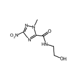 Cn1nc([N+](=O)[O-])nc1C(=O)NCCO